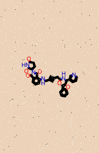 O=C1CCC(N2C(=O)c3cccc(NCC45CC(CC(=O)NC(c6cccnc6)c6cc7ccccc7o6)(C4)C5)c3C2=O)C(=O)N1